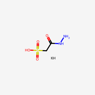 NNC(=O)CS(=O)(=O)O.[KH]